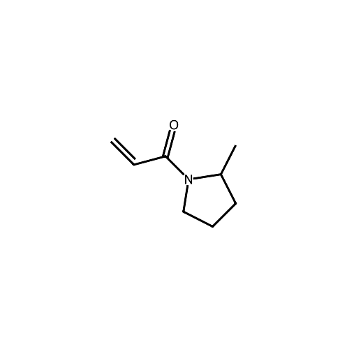 C=CC(=O)N1CCCC1C